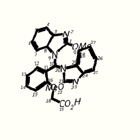 COC1=NC2C=CC=CC2N1C(c1ccccc1OCC(=O)O)n1c(OC)nc2ccccc21